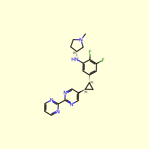 CN1CC[C@@H](Nc2cc([C@@H]3C[C@H]3c3cnc(-c4ncccn4)nc3)cc(F)c2F)C1